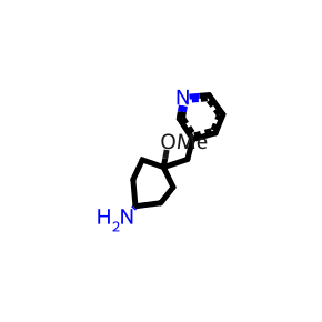 COC1(Cc2cccnc2)CCC(N)CC1